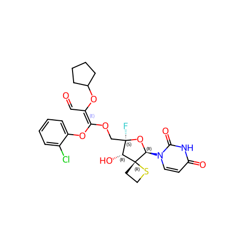 O=C/C(OC1CCCC1)=C(/OC[C@@]1(F)O[C@@H](n2ccc(=O)[nH]c2=O)[C@@]2(CCS2)[C@@H]1O)Oc1ccccc1Cl